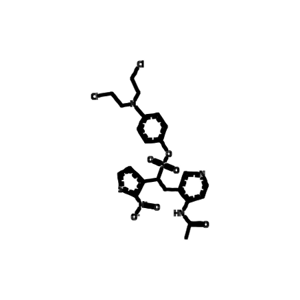 CC(=O)Nc1ccncc1CC(c1ccsc1[N+](=O)[O-])S(=O)(=O)Oc1ccc(N(CCCl)CCCl)cc1